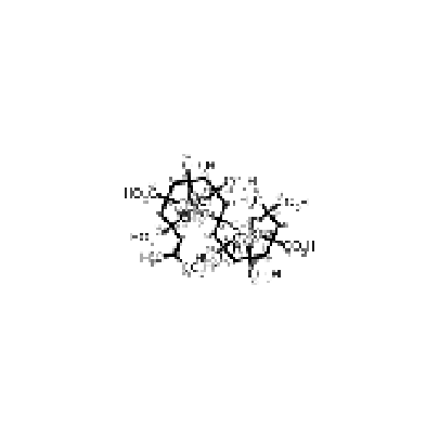 CC(CC(C)(CC(C)(CC(C)(CC(C)(CC(C)(CC(C)(CC(C)(CC(C)(CC(C)(C(=O)O)C(C)C)C(=O)O)C(=O)O)C(=O)O)C(=O)O)C(=O)O)C(=O)O)C(=O)O)C(=O)O)C(=O)O